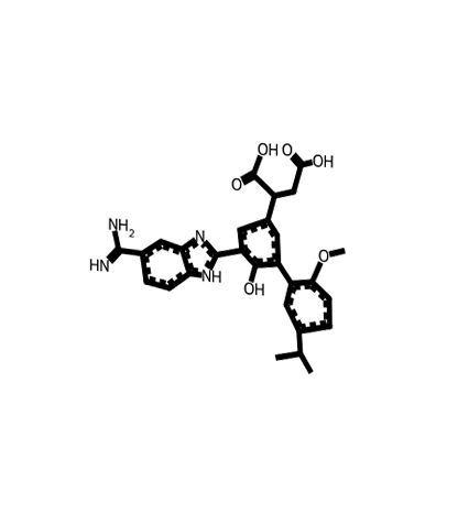 COc1ccc(C(C)C)cc1-c1cc(C(CC(=O)O)C(=O)O)cc(-c2nc3cc(C(=N)N)ccc3[nH]2)c1O